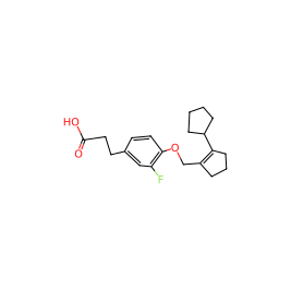 O=C(O)CCc1ccc(OCC2=C(C3CCCC3)CCC2)c(F)c1